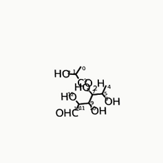 CC(O)C(=O)O.CC(O)C(O)C(O)C(O)C=O